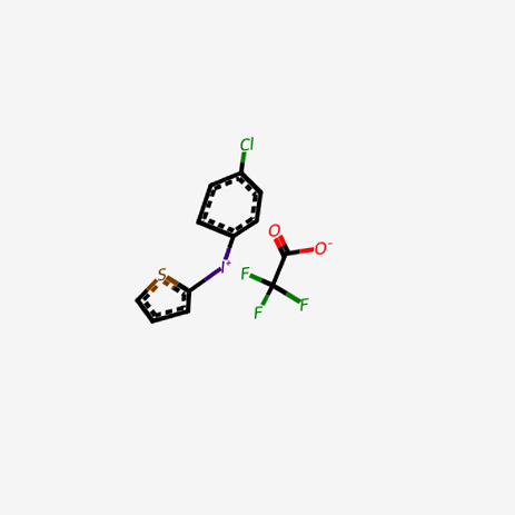 Clc1ccc([I+]c2cccs2)cc1.O=C([O-])C(F)(F)F